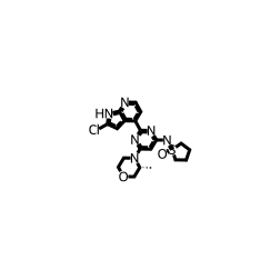 C[C@@H]1COCCN1c1cc(N=S2(=O)CCCC2)nc(-c2ccnc3[nH]c(Cl)cc23)n1